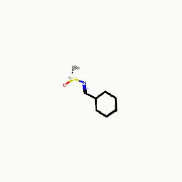 CC(C)(C)[S@@+]([O-])/N=C/C1CCCCC1